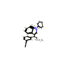 Cc1cccc(C(CC(=O)O)c2cn(C3CCCCC3)c3ccccc23)c1